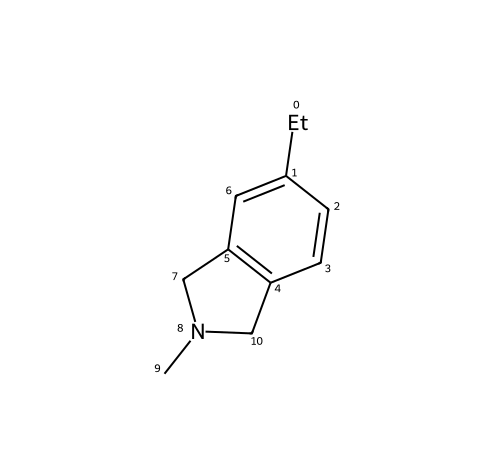 CCc1ccc2c(c1)CN(C)C2